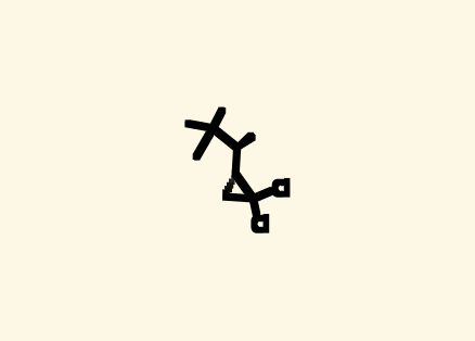 C[C@@H]([C@H]1CC1(Cl)Cl)C(C)(C)C